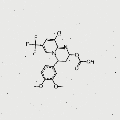 COc1ccc(C2CC(OC(=O)O)N=C3C(Cl)=CC(C(F)(F)F)=CN32)cc1OC